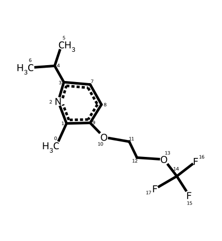 Cc1nc(C(C)C)ccc1OCCOC(F)(F)F